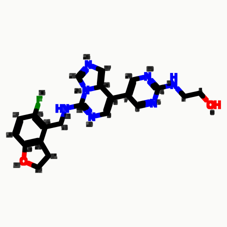 OCCNc1ncc(-c2cnc(NCc3c(F)ccc4c3CCO4)n3cncc23)cn1